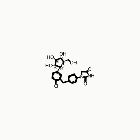 O=C1CN(c2ccc(Cc3cc([C@@H]4O[C@H](CO)[C@@H](O)[C@H](O)[C@H]4O)ccc3Cl)cc2)C(=O)N1